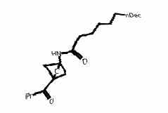 CCCCCCCCCCCCCCCC(=O)NC12CC(C(=O)C(C)C)(C1)C2